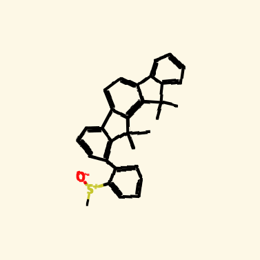 C[S+]([O-])c1ccccc1-c1cccc2c1C(C)(C)c1c-2ccc2c1C(C)(C)c1ccccc1-2